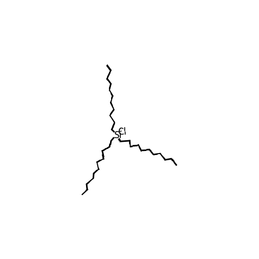 CCCCCCCCCCC[Si](Cl)(CCCCCCCCCCC)CCCCCCCCCCC